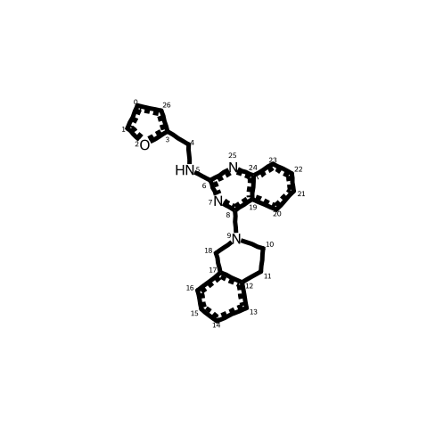 c1coc(CNc2nc(N3CCc4ccccc4C3)c3ccccc3n2)c1